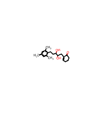 Cc1cc(C)c(CCC(O)C(O)CC2=CCCCC2=O)c(C)c1